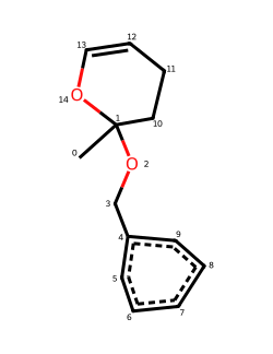 CC1(OCc2ccccc2)CCC=CO1